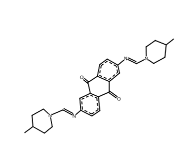 CC1CCN(C=Nc2ccc3c(c2)C(=O)c2ccc(N=CN4CCC(C)CC4)cc2C3=O)CC1